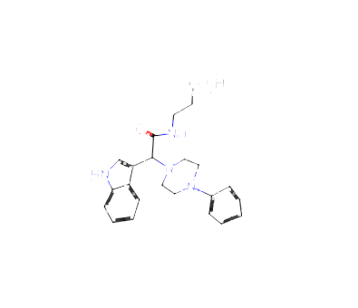 O=C(O)CCNC(=O)C(c1c[nH]c2ccccc12)N1CCN(c2ccccc2)CC1